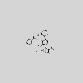 CCCn1nc(C)c(C(=O)O)c1-c1ccc(-c2ccccc2S(=O)(=O)NC(=O)c2ccccc2)cc1CC